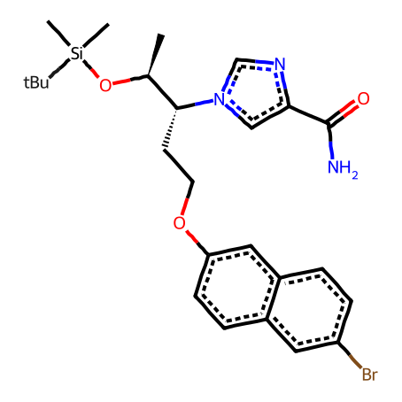 C[C@H](O[Si](C)(C)C(C)(C)C)[C@@H](CCOc1ccc2cc(Br)ccc2c1)n1cnc(C(N)=O)c1